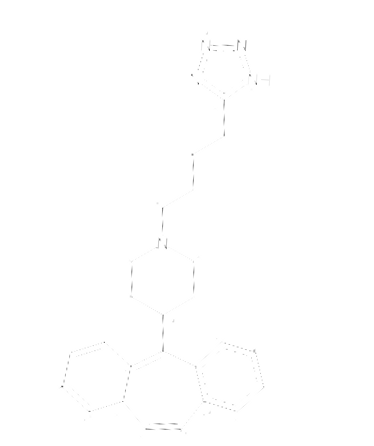 C1=CC2=C(C3CCN(CCCCc4nnn[nH]4)CC3)c3ccccc3C=CC2C=C1